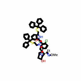 CC/C(=N\OC)[C@@H]1C2[C@H](O)CC(C[C@H]1c1ccc(Cl)c(Cl)c1)N2CCCN(CCSC(c1ccccc1)(c1ccccc1)c1ccccc1)CC(=O)NCCSC(c1ccccc1)(c1ccccc1)c1ccccc1